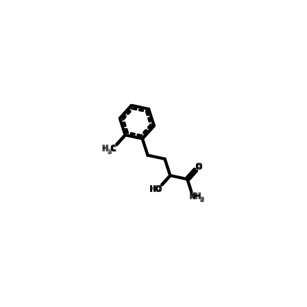 Cc1ccccc1CCC(O)C(N)=O